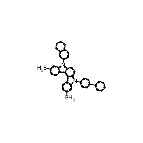 Bc1ccc2c3c4c5ccc(B)cc5n(-c5ccc6ccccc6c5)c4ccc3n(-c3ccc(-c4ccccc4)cc3)c2c1